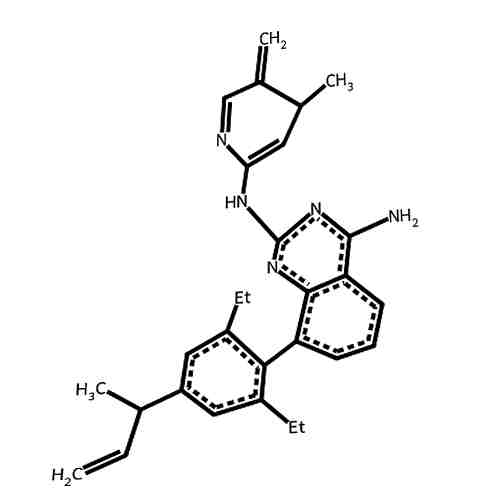 C=CC(C)c1cc(CC)c(-c2cccc3c(N)nc(NC4=CC(C)C(=C)C=N4)nc23)c(CC)c1